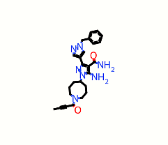 CC#CC(=O)N1CCCC(n2nc(-c3cnn(Cc4ccccc4)c3)c(C(N)=O)c2N)CCC1